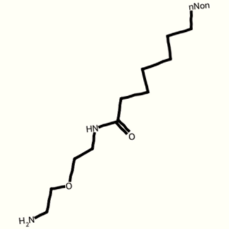 CCCCCCCCCCCCCCCC(=O)NCCOCCN